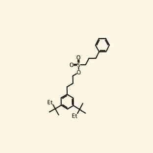 CCC(C)(C)c1cc(CCCOS(=O)(=O)CCCc2ccccc2)cc(C(C)(C)CC)c1